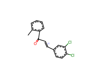 Cc1ccccc1C(=O)/C=C/c1ccc(Cl)c(Cl)c1